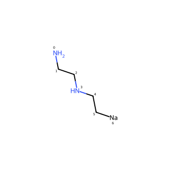 NCCNC[CH2][Na]